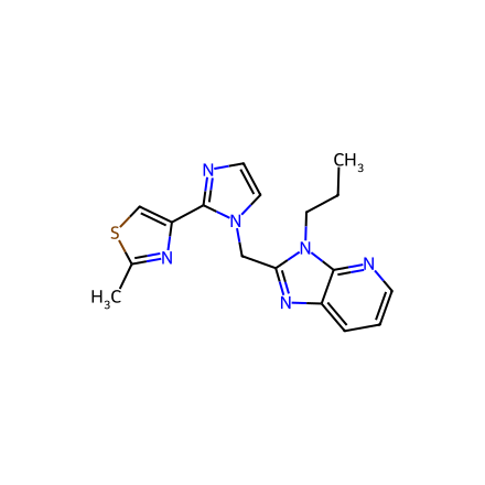 CCCn1c(Cn2ccnc2-c2csc(C)n2)nc2cccnc21